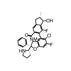 CNC(=O)c1cc2c(c(F)c1-c1c(Cl)c(F)cc3c1C[C@](c1ccccc1)([C@@H]1CCCN1)O3)[C@H](O)[C@@H](C)C2